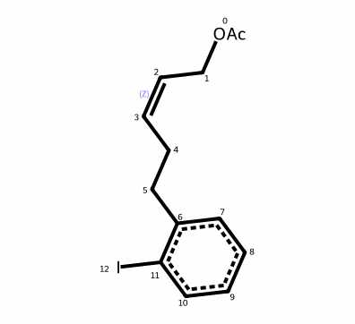 CC(=O)OC/C=C\CCc1ccccc1I